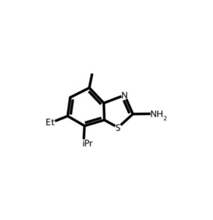 CCc1cc(C)c2nc(N)sc2c1C(C)C